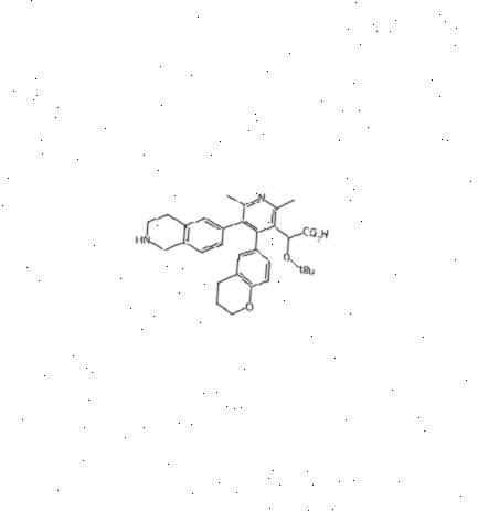 Cc1nc(C)c(C(OC(C)(C)C)C(=O)O)c(-c2ccc3c(c2)CCCO3)c1-c1ccc2c(c1)CCNC2